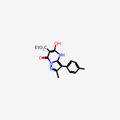 CCOC(=O)c1c(O)[nH]c2c(-c3ccc(C)cc3)c(C)nn2c1=O